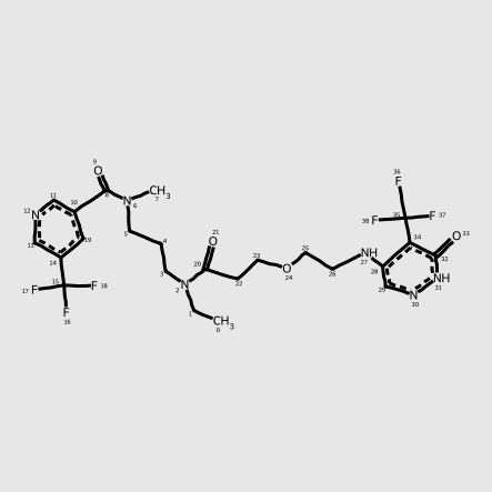 CCN(CCCN(C)C(=O)c1cncc(C(F)(F)F)c1)C(=O)CCOCCNc1cn[nH]c(=O)c1C(F)(F)F